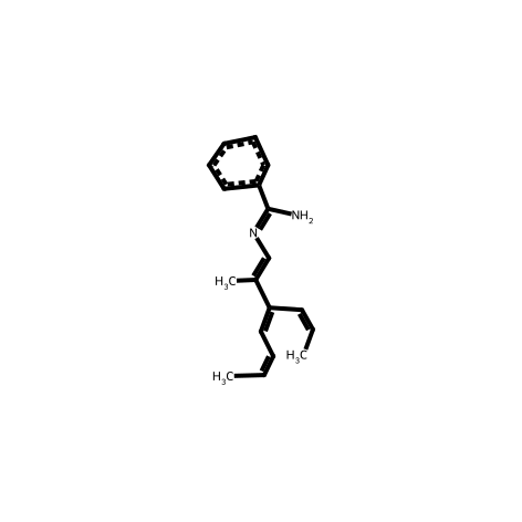 C\C=C/C=C(\C=C/C)C(/C)=C/N=C(\N)c1ccccc1